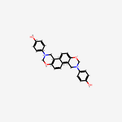 Oc1ccc(N2COc3ccc4c5c(ccc4c3C2)OCN(c2ccc(O)cc2)C5)cc1